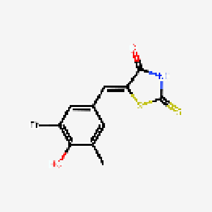 CCc1cc(/C=C2\SC(=S)NC2=O)cc(C)c1O